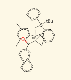 Cc1cc(C)cc([C@@]2(C[Si](c3ccccc3)(c3ccccc3)C(C)(C)C)CC3CC2(C(=O)c2ccc4ccccc4c2)C3)c1